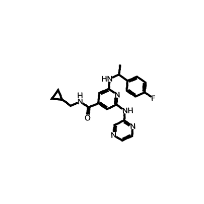 CC(Nc1cc(C(=O)NCC2CC2)cc(Nc2cnccn2)n1)c1ccc(F)cc1